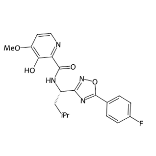 COc1ccnc(C(=O)N[C@@H](CC(C)C)c2noc(-c3ccc(F)cc3)n2)c1O